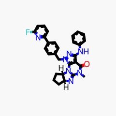 CN1C(=O)c2c(Nc3ccccc3)nn(Cc3ccc(-c4cccc(F)n4)cc3)c2N2C1=N[C@@H]1CCC[C@@H]12